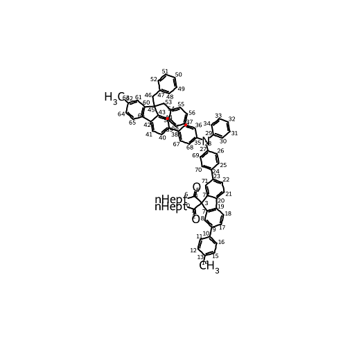 CCCCCCCC(=O)C1(C(=O)CCCCCCC)c2cc(-c3ccc(C)cc3)ccc2-c2ccc(-c3ccc(N(c4ccccc4)c4ccc(-c5ccc6c(c5)C(Cc5ccccc5)(Cc5ccccc5)c5cc(C)ccc5-6)cc4)cc3)cc21